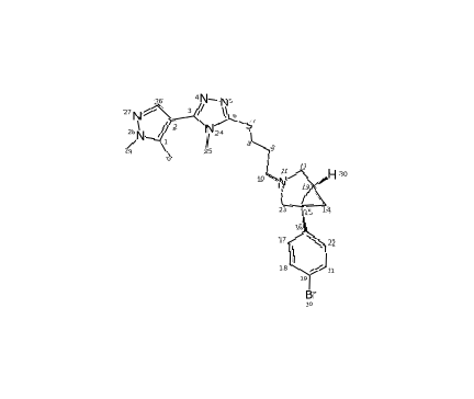 Cc1c(-c2nnc(SCCCN3C[C@@H]4C[C@]4(c4ccc(Br)cc4)C3)n2C)cnn1C